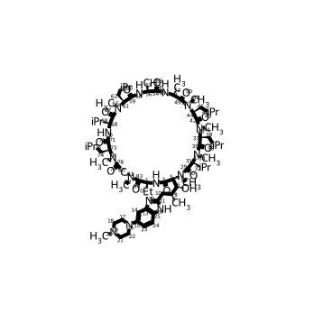 CC[C@@H]1NC(=O)[C@H]([C@H](O)[C@H](C)Cc2nc3cc(N4CCN(C)CC4)ccc3[nH]2)N(C)C(=O)[C@H](C(C)C)N(C)C(=O)[C@H](CC(C)C)N(C)C(=O)[C@H](CC(C)C)N(C)C(=O)[C@@H](C)NC(=O)[C@H](C)NC(=O)[C@H](CC(C)C)N(C)C(=O)[C@H](C(C)C)NC(=O)[C@H](CC(C)C)N(C)C(=O)CN(C)C1=O